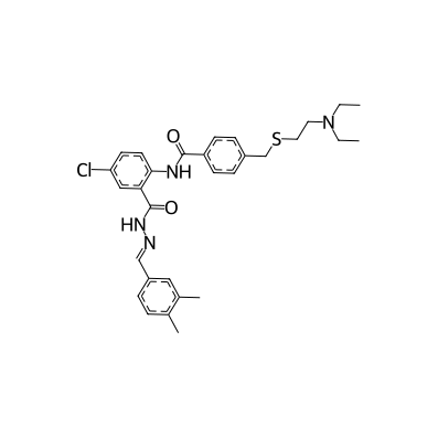 CCN(CC)CCSCc1ccc(C(=O)Nc2ccc(Cl)cc2C(=O)NN=Cc2ccc(C)c(C)c2)cc1